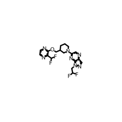 FC(F)Cn1ncc2ncc(N3CCCC(COc4nccnc4C(F)F)C3)nc21